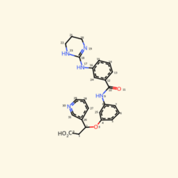 O=C(O)CC(Oc1cccc(NC(=O)c2cccc(NC3=NCCCN3)c2)c1)c1cccnc1